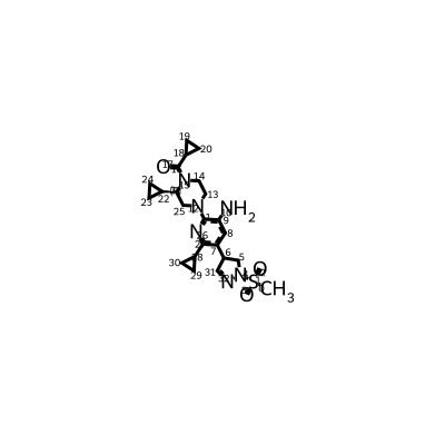 CS(=O)(=O)N1CC(c2cc(N)c(N3CCN(C(=O)C4CC4)[C@H](C4CC4)C3)nc2C2CC2)C=N1